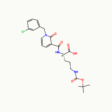 CC(C)(C)OC(=O)NCCC[C@H](NC(=O)c1cccn(Cc2cccc(Cl)c2)c1=O)C(=O)O